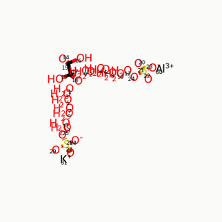 O.O.O.O.O.O.O.O.O.O.O.O.O.O.O=C(O)C(=O)O.O=S(=O)([O-])[O-].O=S(=O)([O-])[O-].[Al+3].[K+]